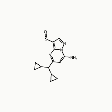 Nc1cc(C(C2CC2)C2CC2)nc2c([S+]=O)cnn12